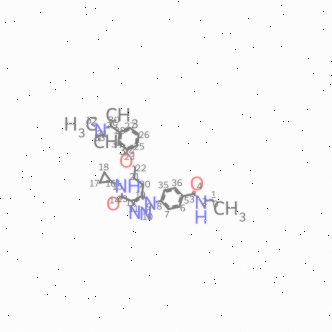 CCNC(=O)c1ccc(-n2nnc(C(=O)NC3CC3)c2CCCOc2cccc(C(C)N(C)C)c2)cc1